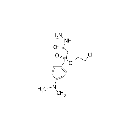 CN(C)c1ccc(P(=O)(CC(=O)NN)OCCCl)cc1